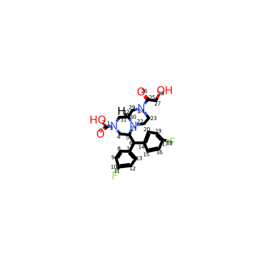 O=C(O)N1CC(C(c2ccc(F)cc2)c2ccc(F)cc2)N2CCN(C(=O)CO)C[C@H]2C1